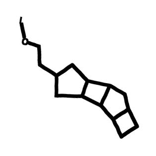 IOCCC1CC2C(C1)C1C3CCC3CC21